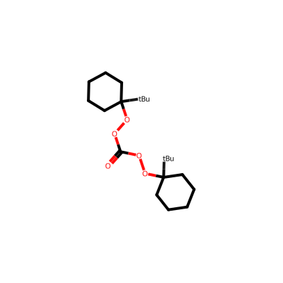 CC(C)(C)C1(OOC(=O)OOC2(C(C)(C)C)CCCCC2)CCCCC1